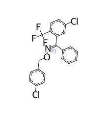 FC(F)(F)c1ccc(Cl)cc1/C(=N/OCc1ccc(Cl)cc1)c1ccccc1